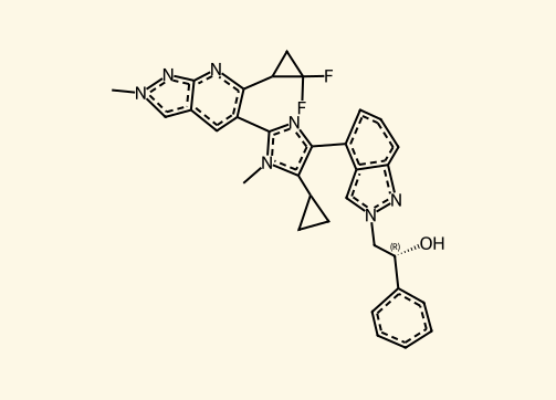 Cn1cc2cc(-c3nc(-c4cccc5nn(C[C@H](O)c6ccccc6)cc45)c(C4CC4)n3C)c(C3CC3(F)F)nc2n1